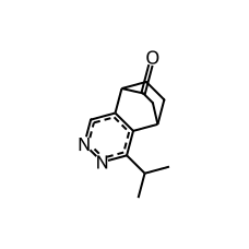 CC(C)c1nncc2c1C1CCC2C(=O)C1